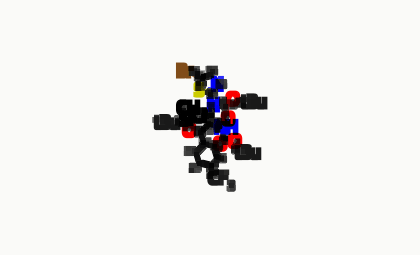 CC(C)(C)OC(=O)N[C@H](CN(C(=O)OC(C)(C)C)c1ncc(Br)s1)[C@@H](O[Si](C)(C)C(C)(C)C)c1ccc(C(F)(F)F)cc1